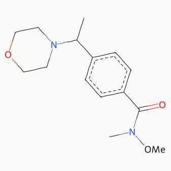 CON(C)C(=O)c1ccc(C(C)N2CCOCC2)cc1